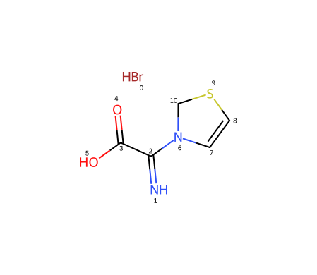 Br.N=C(C(=O)O)N1C=CSC1